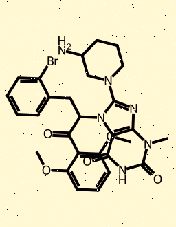 COc1cccc(OC)c1C(=O)C(Cc1ccccc1Br)n1c(N2CCCC(N)C2)nc2c1c(=O)[nH]c(=O)n2C